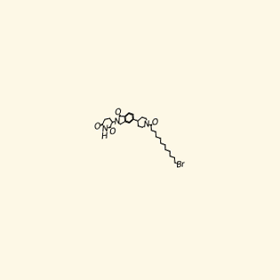 O=C1CCC(N2Cc3cc(C4CCN(C(=O)CCCCCCCCCCCBr)CC4)ccc3C2=O)C(=O)N1